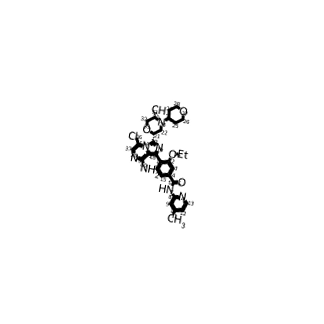 CCOc1cc(C(=O)Nc2cc(C)ccn2)ccc1-c1nc([C@H]2CN(C3CCOCC3)[C@@H](C)CO2)n2c(Cl)cnc(N)c12